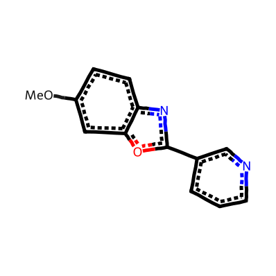 COc1ccc2nc(-c3cccnc3)oc2c1